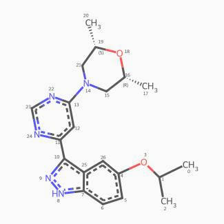 CC(C)Oc1ccc2[nH]nc(-c3cc(N4C[C@@H](C)O[C@@H](C)C4)ncn3)c2c1